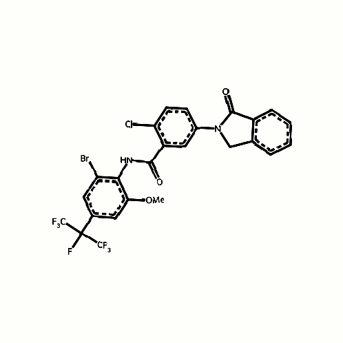 COc1cc(C(F)(C(F)(F)F)C(F)(F)F)cc(Br)c1NC(=O)c1cc(N2Cc3ccccc3C2=O)ccc1Cl